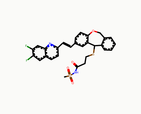 CS(=O)(=O)NC(=O)CCSC1c2ccccc2COc2ccc(C=Cc3ccc4cc(F)c(F)cc4n3)cc21